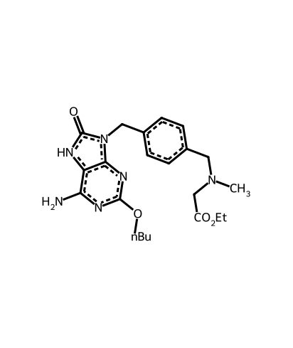 CCCCOc1nc(N)c2[nH]c(=O)n(Cc3ccc(CN(C)CC(=O)OCC)cc3)c2n1